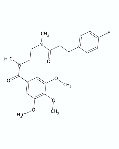 COc1cc(C(=O)N(C)CCN(C)C(=O)CCc2ccc(F)cc2)cc(OC)c1OC